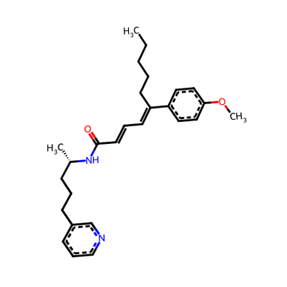 CCCCC/C(=C\C=C\C(=O)N[C@@H](C)CCCc1cccnc1)c1ccc(OC)cc1